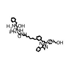 Cc1nn2c(N3CCN(CCO)CC3)cc(-c3cccc(CCCCCCCNC(=O)[C@H](CC(C)C)NC(=O)[C@@H](O)[C@H](N)Cc4ccccc4)c3)nc2c1-c1ccccc1